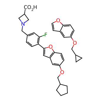 O=C(O)C1CN(Cc2ccc(-c3cc4cc(OCC5CCCC5)ccc4o3)c(F)c2)C1.c1cc2cc(OCC3CC3)ccc2o1